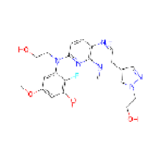 C=Nc1nc(N(CCO)c2cc(OC)cc(OC)c2F)ccc1/N=C\Cc1cnn(CCO)c1